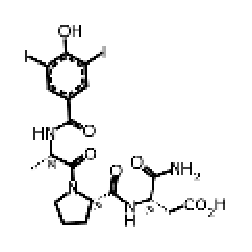 C[C@H](NC(=O)c1cc(I)c(O)c(I)c1)C(=O)N1CCC[C@H]1C(=O)N[C@@H](CC(=O)O)C(N)=O